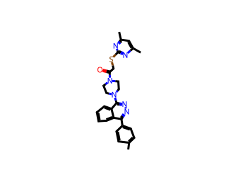 Cc1ccc(-c2nnc(N3CCN(C(=O)CSc4nc(C)cc(C)n4)CC3)c3ccccc23)cc1